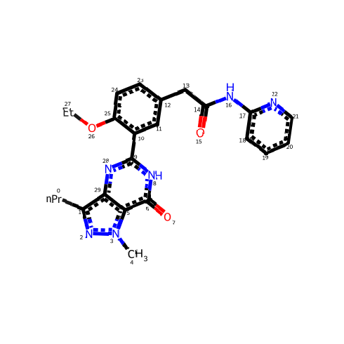 CCCc1nn(C)c2c(=O)[nH]c(-c3cc(CC(=O)Nc4ccccn4)ccc3OCC)nc12